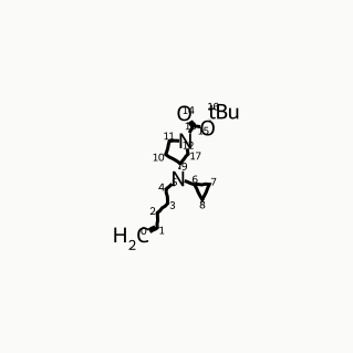 C=CCCCN(C1CC1)[C@@H]1CCN(C(=O)OC(C)(C)C)C1